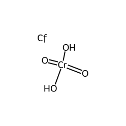 [Cf].[O]=[Cr](=[O])([OH])[OH]